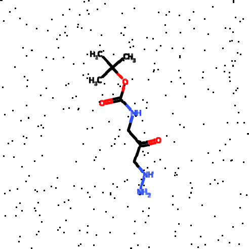 CC(C)(C)OC(=O)NCC(=O)CNN